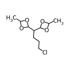 CC1OC(C(CCCCl)C2OC(C)O2)O1